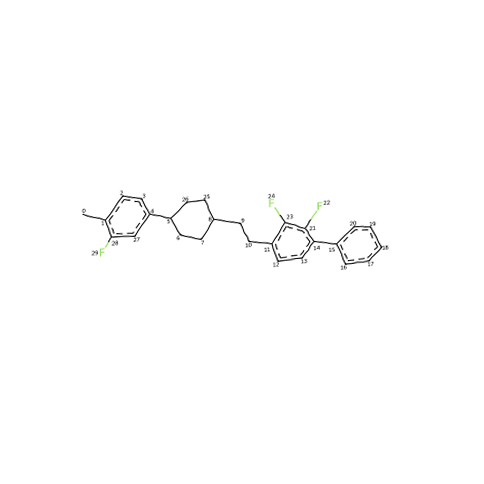 Cc1ccc(C2CCC(CCc3ccc(-c4ccccc4)c(F)c3F)CC2)cc1F